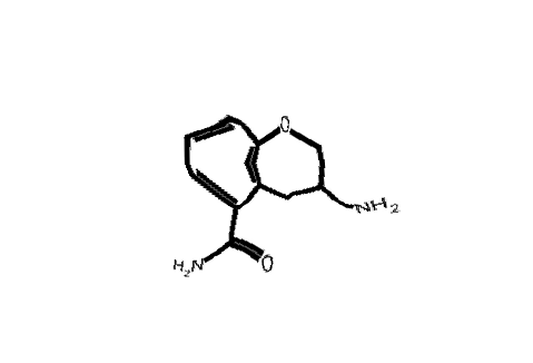 NC(=O)c1cccc2c1CC(N)CO2